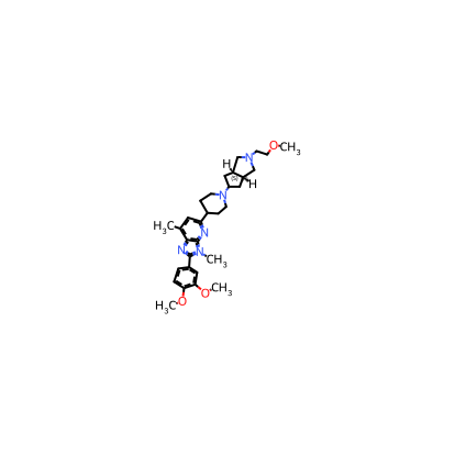 COCCN1C[C@H]2CC(N3CCC(c4cc(C)c5nc(-c6ccc(OC)c(OC)c6)n(C)c5n4)CC3)C[C@H]2C1